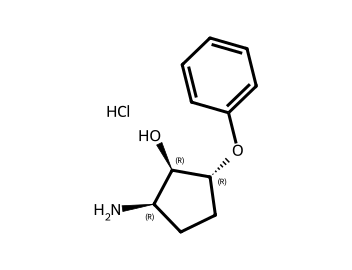 Cl.N[C@@H]1CC[C@@H](Oc2ccccc2)[C@@H]1O